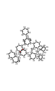 c1ccc(-c2cc(-c3cccc4c3Sc3c(-c5cccc(-c6nccc7ccccc67)c5)cccc3C43c4ccccc4-c4ccccc43)nc(-c3ccccc3)n2)cc1